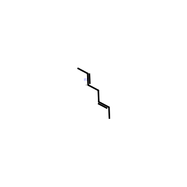 CC=CC/[C]=C/C